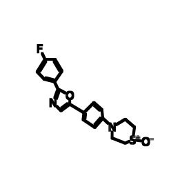 [O-][S+]1CCN(c2ccc(-c3cnc(-c4ccc(F)cc4)o3)cc2)CC1